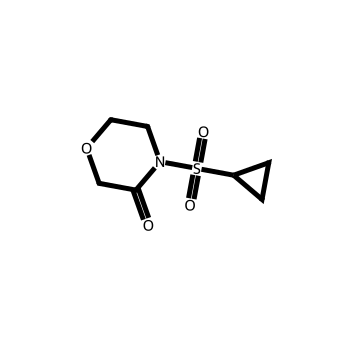 O=C1COCCN1S(=O)(=O)C1CC1